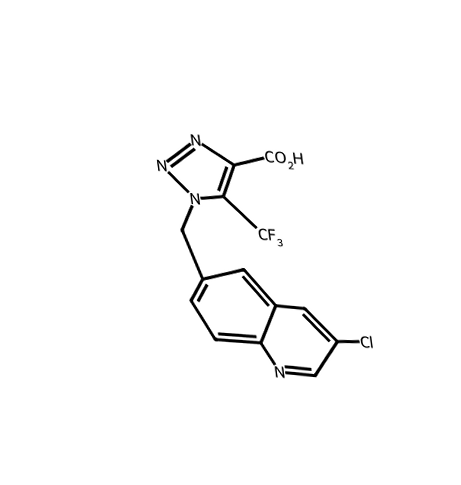 O=C(O)c1nnn(Cc2ccc3ncc(Cl)cc3c2)c1C(F)(F)F